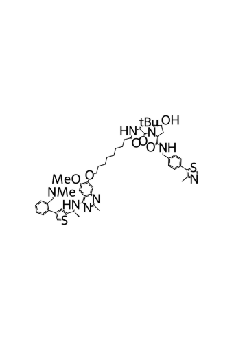 CNCc1ccccc1-c1csc([C@H](C)Nc2nc(C)nc3cc(OCCCCCCCCC(=O)N[C@H](C(=O)N4C[C@H](O)C[C@H]4C(=O)NCc4ccc(-c5scnc5C)cc4)C(C)(C)C)c(OC)cc23)c1